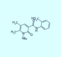 CCCCn1c(C)c(C)cc(C(=O)Nc2ccccc2C(=O)O)c1=O